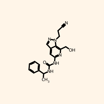 CC(NC(=O)Nc1cc2cnn(CCC#N)c2c(CO)n1)c1ccccc1